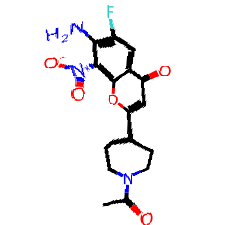 CC(=O)N1CCC(c2cc(=O)c3cc(F)c(N)c([N+](=O)[O-])c3o2)CC1